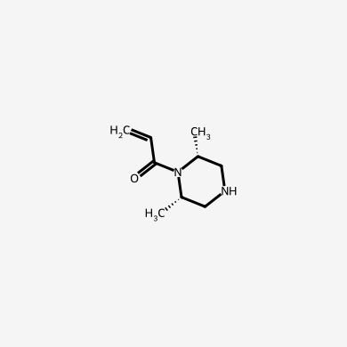 C=CC(=O)N1[C@H](C)CNC[C@@H]1C